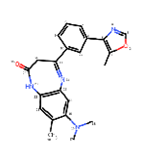 Cc1ocnc1-c1cccc(C2=Nc3cc(N(C)C)c(C(F)(F)F)cc3NC(=O)C2)c1